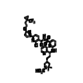 CC1(C)C[C@H](CCC(Nc2cccc(S(=O)(=O)NC(=O)c3ccc(-n4ccc(OCCC5(C(F)(F)F)CC5)n4)nc3Cl)n2)c2ccccn2)CN1C(=O)O